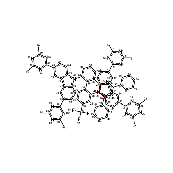 Cc1nc(C)nc(-c2ccc3c(c2)c2cc(-c4nc(C)nc(C)n4)ccc2n3-c2cc(C(F)(F)F)ccc2-c2c(-c3nc(-c4ccccc4)nc(-c4ccccc4)n3)cccc2-n2c3ccc(-c4nc(C)nc(C)n4)cc3c3cc(-c4nc(C)nc(C)n4)ccc32)n1